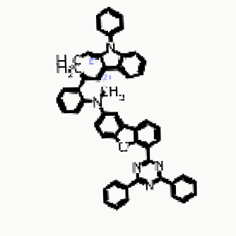 C=C(/C=c1\c(=C/C)n(-c2ccccc2)c2ccccc12)c1ccccc1N(C)c1ccc2oc3c(-c4nc(-c5ccccc5)nc(-c5ccccc5)n4)cccc3c2c1